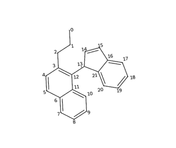 CCCc1ccc2ccccc2c1[C]1C=Cc2ccccc21